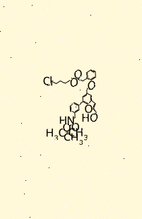 CC(C)(C)OC(=O)NCc1cccc(-c2cc(COc3ccccc3CC(=O)OCCCCCl)cc3cc(CO)oc23)c1